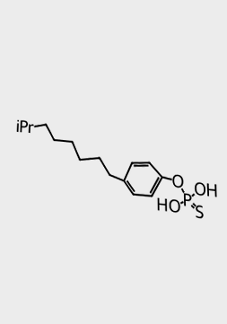 CC(C)CCCCCCc1ccc(OP(O)(O)=S)cc1